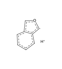 [H+].[c]1occ2ccccc12